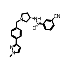 Cn1ccc(-c2ccc(CN3CC[C@@H](N[S+]([O-])c4cccc(C#N)c4)C3)cc2)n1